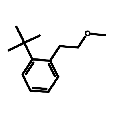 COCCc1ccccc1C(C)(C)C